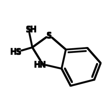 SC1(S)Nc2ccccc2S1